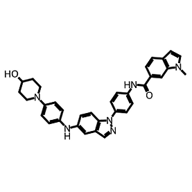 Cn1ccc2ccc(C(=O)Nc3ccc(-n4ncc5cc(Nc6ccc(N7CCC(O)CC7)cc6)ccc54)cc3)cc21